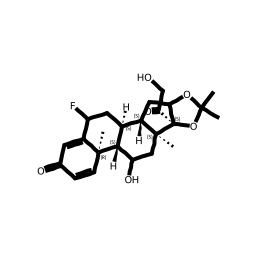 CC1(C)OC2C[C@H]3[C@@H]4CC(F)C5=CC(=O)C=C[C@]5(C)[C@H]4C(O)C[C@]3(C)[C@]2(C(=O)CO)O1